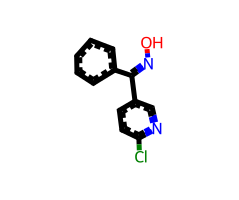 O/N=C(\c1ccccc1)c1ccc(Cl)nc1